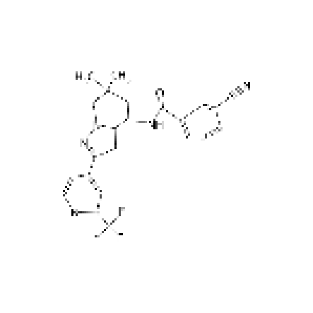 CC1(C)C[C@H](NC(=O)c2cccc(C#N)c2)c2cc(-c3ccnc(C(F)(F)F)c3)nn2C1